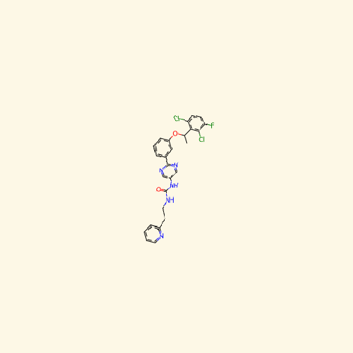 CC(Oc1cccc(-c2ncc(NC(=O)NCCc3ccccn3)cn2)c1)c1c(Cl)ccc(F)c1Cl